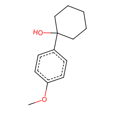 COc1ccc(C2(O)CCCCC2)cc1